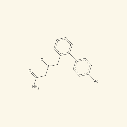 CC(=O)c1ccc(-c2ccccc2C[S+]([O-])CC(N)=O)cc1